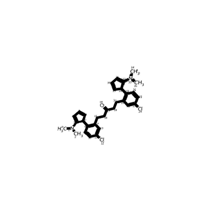 CN(C)C1=CC=CC1c1ccc(Cl)cc1CCC(=O)CCc1cc(Cl)ccc1C1C=CC=C1N(C)C